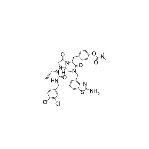 C#CCN(C(=O)NCc1ccc(Cl)c(Cl)c1)N1CC(=O)N2[C@@H](Cc3ccc(OC(=O)N(C)C)cc3)C(=O)N(Cc3cccc4sc(N)nc34)C[C@@H]21